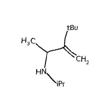 C=C(C(C)NC(C)C)C(C)(C)C